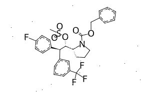 CS(=O)(=O)O[C@@H]([C@H](c1ccc(F)cc1)c1cccc(C(F)(F)F)c1)[C@H]1CCCN1C(=O)OCc1ccccc1